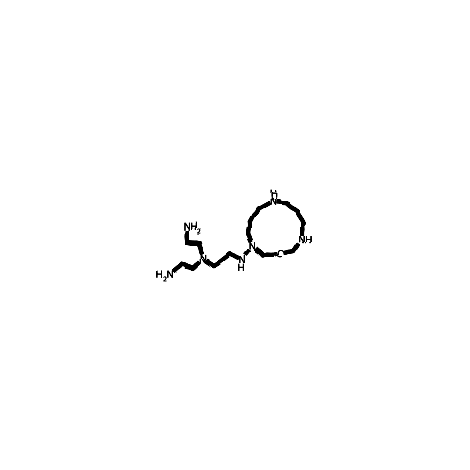 NCCN(CCN)CCNN1CCCNCCCNCCC1